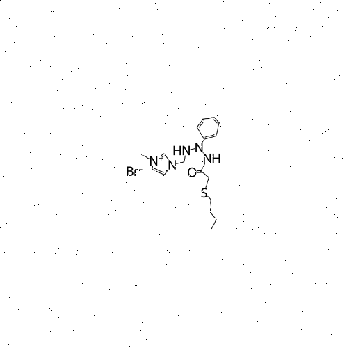 CCCCSCC(=O)NN(NCn1cc[n+](C)c1)c1ccccc1.[Br-]